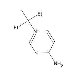 CCC(C)(CC)[n+]1ccc(N)cc1